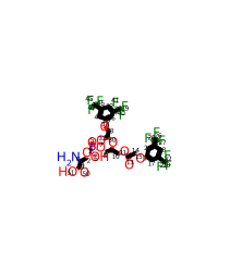 NC(COP(=O)(O)OCC(COC(=O)COc1cc(C(F)(F)F)cc(C(F)(F)F)c1)OC(=O)COc1cc(C(F)(F)F)cc(C(F)(F)F)c1)C(=O)O